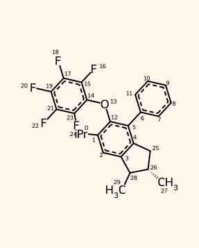 CC(C)c1cc2c(c(-c3ccccc3)c1Oc1c(F)c(F)c(F)c(F)c1F)C[C@H](C)C2C